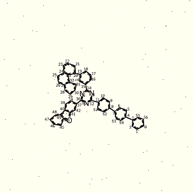 c1ccc(-c2ccc(-c3ccc(-c4nc(-c5cccc(-c6cccc7ccc8ccccc8c67)c5)nc(-c5ccc6c(c5)oc5ccccc56)n4)cc3)cc2)cc1